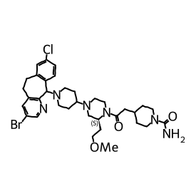 COCC[C@H]1CN(C2CCN(C3c4ccc(Cl)cc4CCc4cc(Br)cnc43)CC2)CCN1C(=O)CC1CCN(C(N)=O)CC1